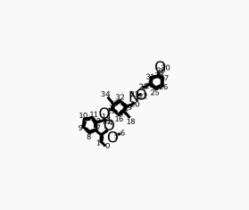 CC=C(C(=O)OC)c1ccccc1COc1cc(C)c(C=NOCc2cccc(OC)c2)cc1C